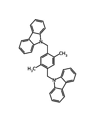 Cc1cc(Cn2c3ccccc3c3ccccc32)c(C)cc1Cn1c2ccccc2c2ccccc21